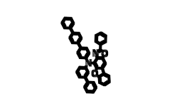 c1ccc(-c2ccc(-c3ccc(N(c4cccc(-c5ccccc5)c4)c4c5nc(-c6ccccc6)oc5cc5c4oc4ccccc45)cc3)cc2)cc1